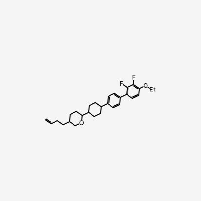 C=CCCC1CCC(C2CCC(c3ccc(-c4ccc(OCC)c(F)c4F)cc3)CC2)OC1